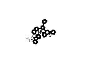 CC1(C)c2ccccc2-c2ccc(N3B4c5cccc6c5C(Cc5c-6sc6ccccc56)c5cc(-c6ccccc6)cc(c54)-c4ccc5ccccc5c43)cc21